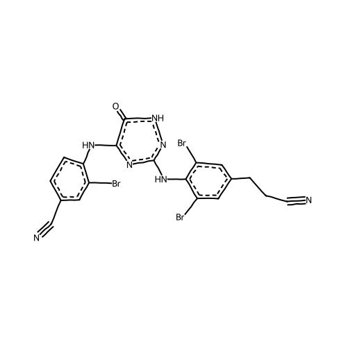 N#CCCc1cc(Br)c(Nc2n[nH]c(=O)c(Nc3ccc(C#N)cc3Br)n2)c(Br)c1